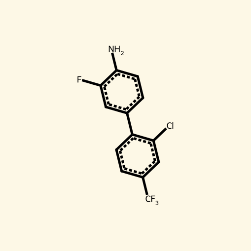 Nc1ccc(-c2ccc(C(F)(F)F)cc2Cl)cc1F